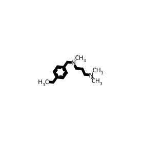 CCc1ccc(CN(C)CCCN(C)C)cc1